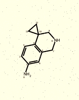 Nc1ccc2c(c1)CNCC21CC1